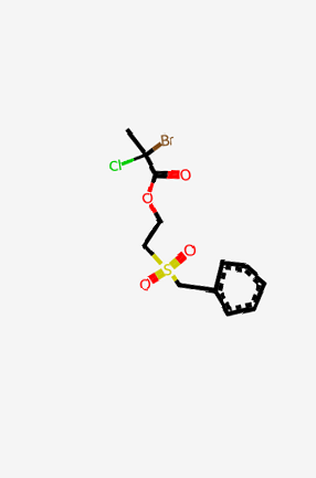 CC(Cl)(Br)C(=O)OCCS(=O)(=O)Cc1ccccc1